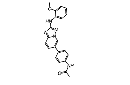 COc1ccccc1Nc1nc2ccc(-c3ccc(NC(C)=O)cc3)cn2n1